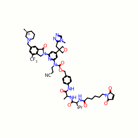 CC(NC(=O)C(NC(=O)CCCCCN1C(=O)C=CC1=O)C(C)C)C(=O)Nc1ccc(COC(=O)N(CCC#N)c2cc(C3(Cc4nncn4C)COC3)cc(N3Cc4c(cc(CN5CCC[C@H](C)C5)cc4C(F)(F)F)C3=O)n2)cc1